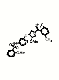 COc1ccccc1S(=O)(=O)Nc1ccnc(O[C@@H]2CN(C(=O)c3cc(C)ccc3C)C[C@H]2OC)c1